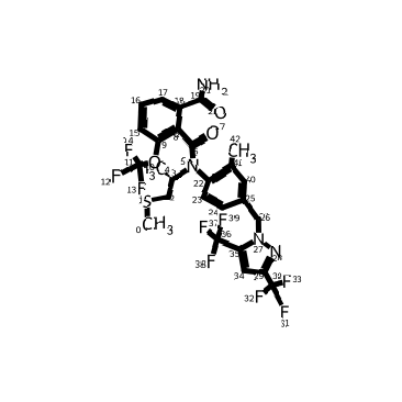 CSC[C@H](C)N(C(=O)c1c(OC(F)(F)F)cccc1C(N)=O)c1ccc(Cn2nc(C(F)(F)F)cc2C(F)(F)F)cc1C